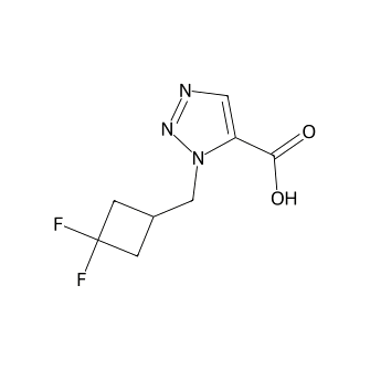 O=C(O)c1cnnn1CC1CC(F)(F)C1